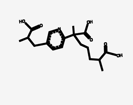 CC(CCCC(C)(C(=O)O)c1ccc(CC(C)C(=O)O)cn1)C(=O)O